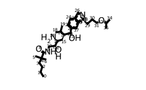 CCCCC(C)(C)C(=O)NCC(O)[C@@H](N)C[C@@H](C(C)C)C(O)c1ccc2cnn(CCCOC(C)C)c2c1